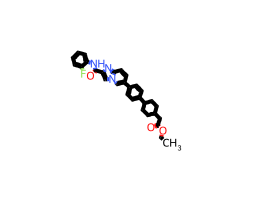 CCOC(=O)CC1CCC(c2ccc(-c3ccc4nc(C(=O)Nc5ccccc5F)cn4c3)cc2)CC1